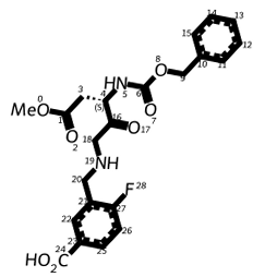 COC(=O)C[C@H](NC(=O)OCc1ccccc1)C(=O)CNCc1cc(C(=O)O)ccc1F